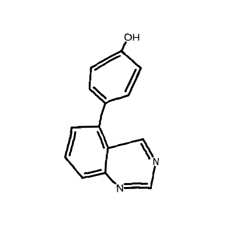 Oc1ccc(-c2cccc3ncncc23)cc1